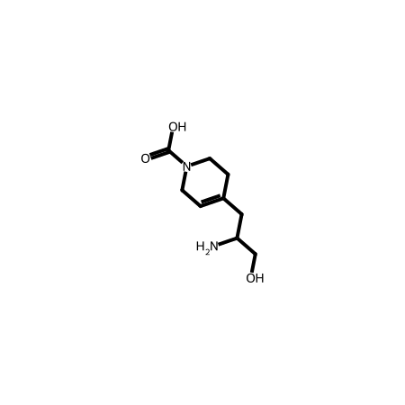 NC(CO)CC1=CCN(C(=O)O)CC1